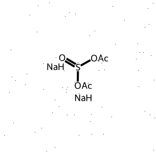 CC(=O)OS(=O)OC(C)=O.[NaH].[NaH]